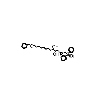 CC(C)(C)[Si](C[C@H]1C[C@H]1C[C@H](O)[C@H](O)CCCCCCCCOCc1ccccc1)(c1ccccc1)c1ccccc1